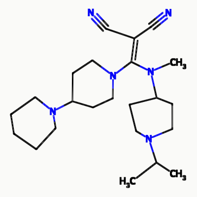 CC(C)N1CCC(N(C)C(=C(C#N)C#N)N2CCC(N3CCCCC3)CC2)CC1